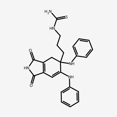 NC(=S)NCCCC1(Nc2ccccc2)CC2=C(C=C1Nc1ccccc1)C(=O)NC2=O